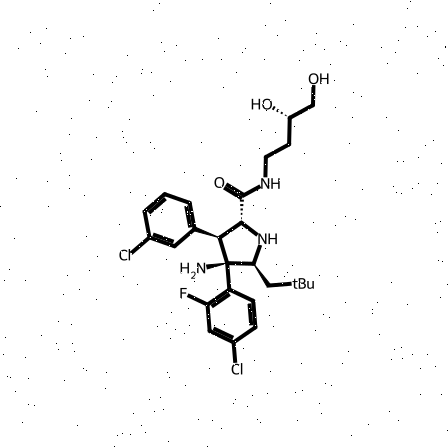 CC(C)(C)C[C@@H]1N[C@@H](C(=O)NCC[C@H](O)CO)[C@H](c2cccc(Cl)c2)[C@@]1(N)c1ccc(Cl)cc1F